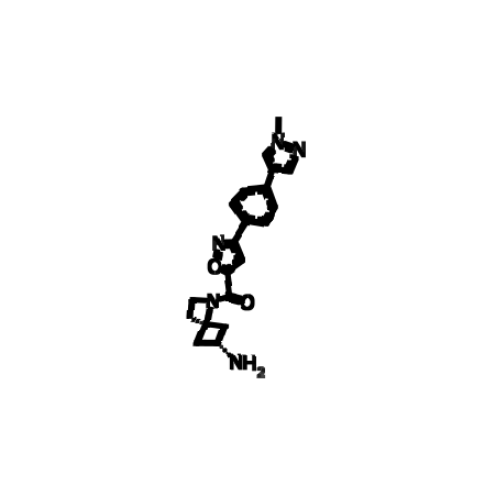 Cn1cc(-c2ccc(-c3cc(C(=O)N4CC[C@]45C[C@@H](N)C5)on3)cc2)cn1